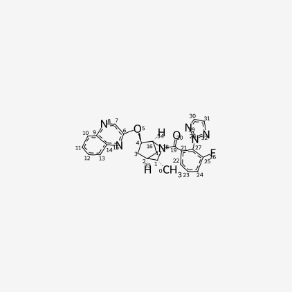 C[C@@H]1[C@H]2C[C@@H](Oc3cnc4ccccc4n3)[C@H](C2)N1C(=O)c1cccc(F)c1-n1nccn1